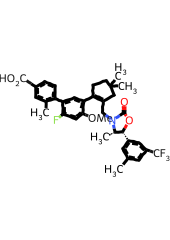 COc1cc(F)c(-c2ccc(C(=O)O)cc2C)cc1C1=C(CN2C(=O)O[C@H](c3cc(C)cc(C(F)(F)F)c3)[C@@H]2C)CC(C)(C)CC1